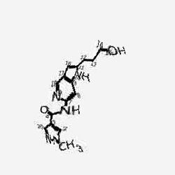 Cn1cc(C(=O)Nc2cc3[nH]c(CCCO)cc3cn2)cn1